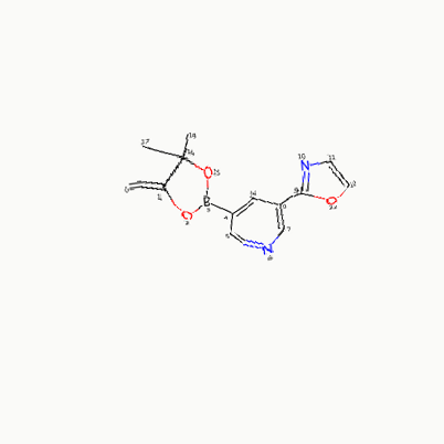 C=C1OB(c2cncc(-c3ncco3)c2)OC1(C)C